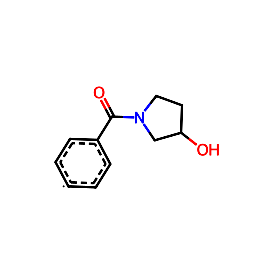 O=C(c1cc[c]cc1)N1CCC(O)C1